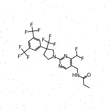 CCC(=O)NCc1cnc(N2CCC(c3cc(C(F)(F)F)cc(C(F)(F)F)c3)(C(F)(F)F)C2)nc1C(F)F